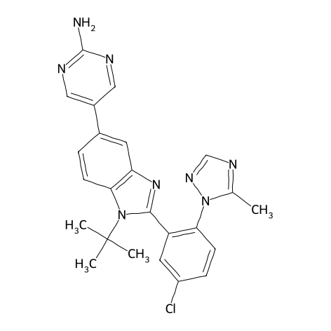 Cc1ncnn1-c1ccc(Cl)cc1-c1nc2cc(-c3cnc(N)nc3)ccc2n1C(C)(C)C